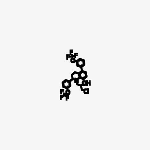 OC(CCl)CN1c2cccc(-c3cccc(OC(F)(F)F)c3)c2CCC1c1cccc(OC(F)(F)F)c1